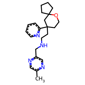 Cc1cnc(CNCCC2(c3ccccn3)CCOC3(CCCC3)C2)cn1